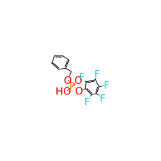 O=P(O)(OCc1ccccc1)Oc1c(F)c(F)c(F)c(F)c1F